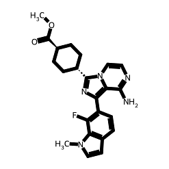 COC(=O)[C@H]1CC[C@H](c2nc(-c3ccc4ccn(C)c4c3F)c3c(N)nccn32)CC1